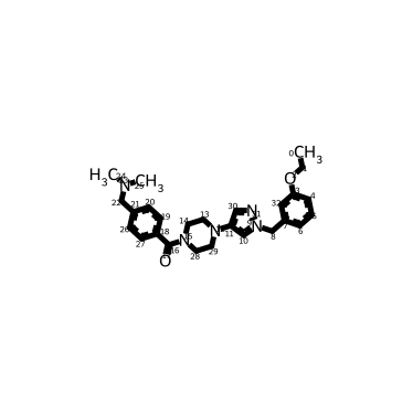 CCOc1cccc(Cn2cc(N3CCN(C(=O)c4ccc(CN(C)C)cc4)CC3)cn2)c1